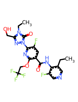 CCc1cncc(F)c1NC(=O)c1cc(F)c(-n2nc(CO)n(CC)c2=O)nc1OCC(F)(F)F